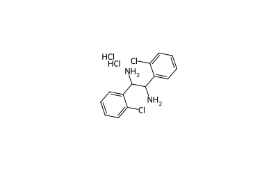 Cl.Cl.NC(c1ccccc1Cl)C(N)c1ccccc1Cl